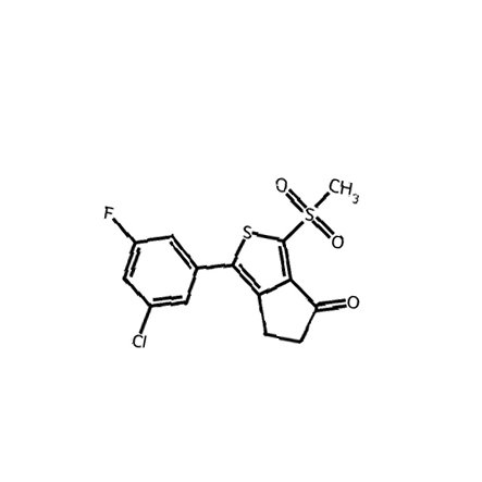 CS(=O)(=O)c1sc(-c2cc(F)cc(Cl)c2)c2c1C(=O)CC2